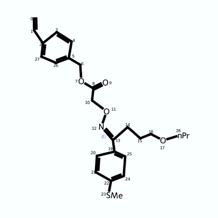 C=Cc1ccc(COC(=O)CO/N=C(\CCCOCCC)c2ccc(SC)cc2)cc1